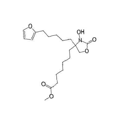 COC(=O)CCCCCCC1(CCCCCc2ccco2)COC(=O)N1O